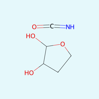 N=C=O.OC1CCOC1O